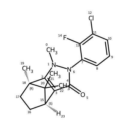 Cn1c2c(c(=O)n1-c1cccc(Cl)c1F)[C@H]1CC[C@]2(C)C1(C)C